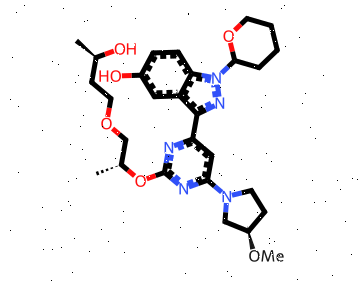 CO[C@@H]1CCN(c2cc(-c3nn(C4CCCCO4)c4ccc(O)cc34)nc(O[C@H](C)COCC[C@@H](C)O)n2)C1